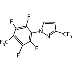 Fc1c(F)c(C(F)(F)F)c(F)c(F)c1-n1ccc(C(F)(F)F)n1